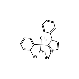 CC(C)c1ccccc1C(C)(C)c1n(-c2ccccc2)cc[n+]1C(C)C